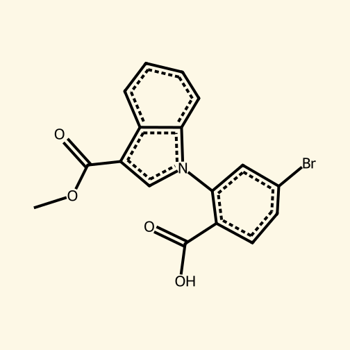 COC(=O)c1cn(-c2cc(Br)ccc2C(=O)O)c2ccccc12